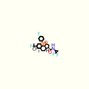 CC(F)(c1ccc2c(c1)CC[C@H]1[C@H](C(=O)NC3CC3(F)F)CC[C@@]21S(=O)(=O)c1ccc(F)cc1)C(F)(F)F